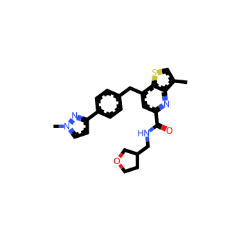 Cc1csc2c(Cc3ccc(-c4ccn(C)n4)cc3)cc(C(=O)NCC3CCOC3)nc12